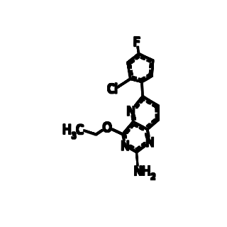 CCOc1nc(N)nc2ccc(-c3ccc(F)cc3Cl)nc12